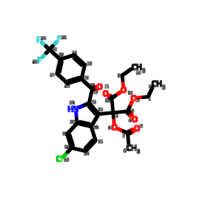 CCOC(=O)C(OC(C)=O)(C(=O)OCC)c1c(C(=O)c2ccc(C(F)(F)F)cc2)[nH]c2cc(Cl)ccc12